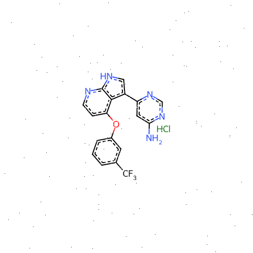 Cl.Nc1cc(-c2c[nH]c3nccc(Oc4cccc(C(F)(F)F)c4)c23)ncn1